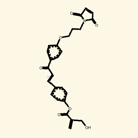 C=C(CO)C(=O)Oc1ccc(/C=C/C(=O)c2ccc(OCCCN3C(=O)C=CC3=O)cc2)cc1